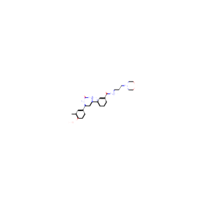 Cc1cc(-c2cc(-c3cccc(C(=O)NCCCN4CCOCC4)c3)[nH]c(=O)n2)ccc1O